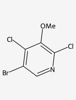 COc1c(Cl)ncc(Br)c1Cl